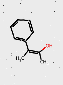 CC(O)=C(C)c1ccccc1